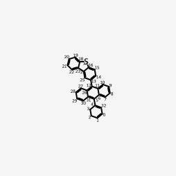 C1=CCCC(c2c3ccccc3c(-c3ccc4sc5ccccc5c4c3)c3ccccc23)=C1